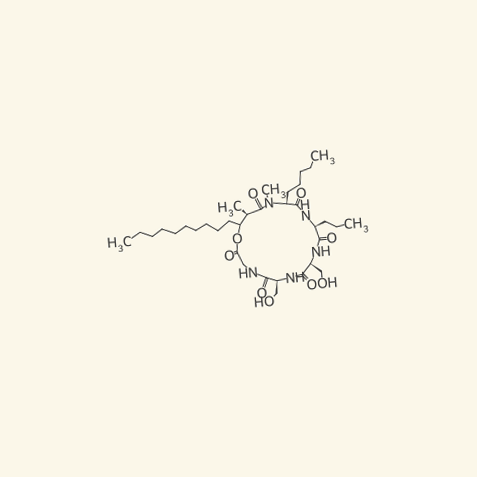 CCCCCCCCCCC1OC(=O)CNC(=O)[C@H](CO)NC(=O)[C@H](CO)NC(=O)[C@H](CCC)NC(=O)[C@H](CCCCC)N(C)C(=O)[C@@H]1C